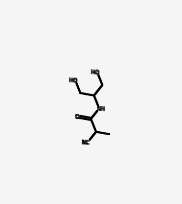 CC(C#N)C(=O)NC(CO)CO